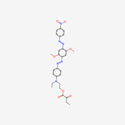 CCC(=O)C(=O)OCCN(CC)c1ccc(/N=N/c2cc(OC)c(/N=N/c3ccc([N+](=O)[O-])cc3)cc2OC)cc1